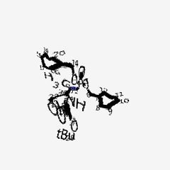 C/C(=C\P(=O)(OCc1ccccc1)OCc1ccccc1)[C@H](CO)NC(=O)OC(C)(C)C